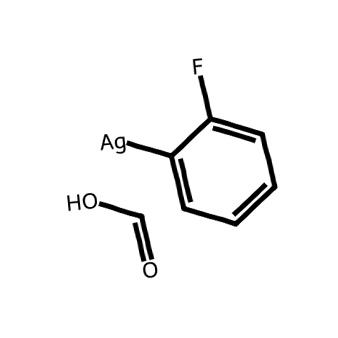 Fc1cccc[c]1[Ag].O=CO